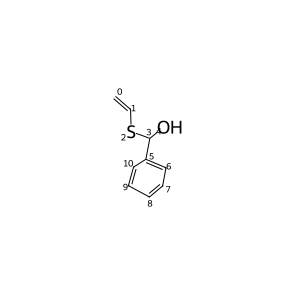 C=CSC(O)c1ccccc1